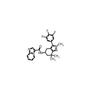 Cn1nc2c(c1-c1cc(F)c(F)c(F)c1)CC(NC(=O)c1cnc3ccccn13)CC2(C)C